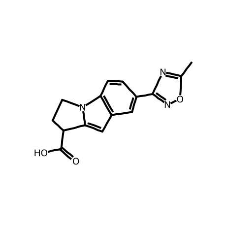 Cc1nc(-c2ccc3c(c2)cc2n3CCC2C(=O)O)no1